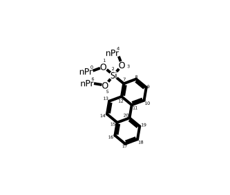 CCCO[Si](OCCC)(OCCC)c1cccc2c1ccc1ccccc12